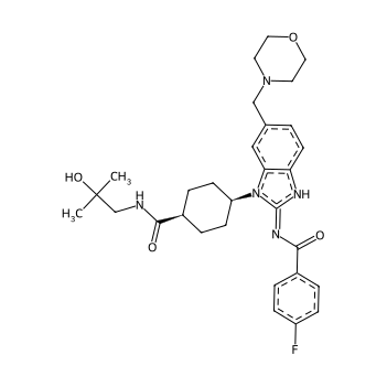 CC(C)(O)CNC(=O)[C@H]1CC[C@@H](n2/c(=N/C(=O)c3ccc(F)cc3)[nH]c3ccc(CN4CCOCC4)cc32)CC1